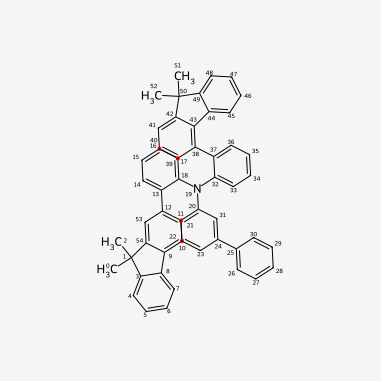 CC1(C)c2ccccc2-c2ccc(-c3ccccc3N(c3cccc(-c4ccccc4)c3)c3ccccc3-c3cccc4c3-c3ccccc3C4(C)C)cc21